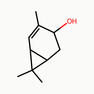 CC1=CC2C(CC1O)C2(C)C